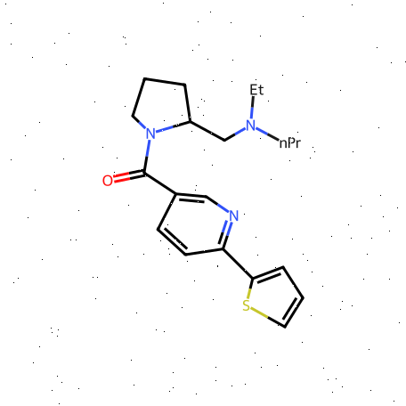 CCCN(CC)CC1CCCN1C(=O)c1ccc(-c2cccs2)nc1